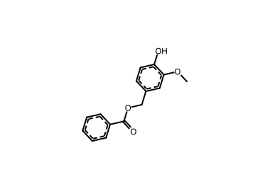 COc1cc(COC(=O)c2ccccc2)ccc1O